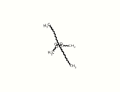 CCCCCCCCCCCCCCCCC(C(=O)OCCCCC)C(CCCCCCCCCCCCCCCC)C(=O)OCCCCC